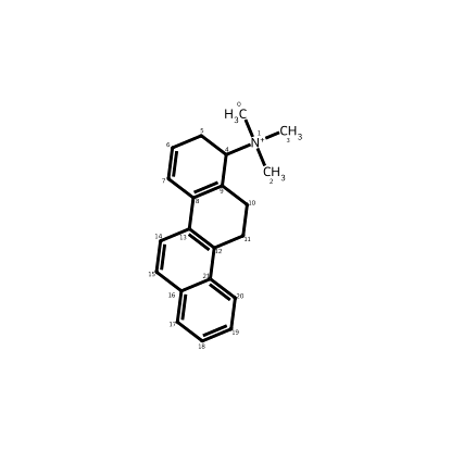 C[N+](C)(C)C1CC=CC2=C1CCc1c2ccc2ccccc12